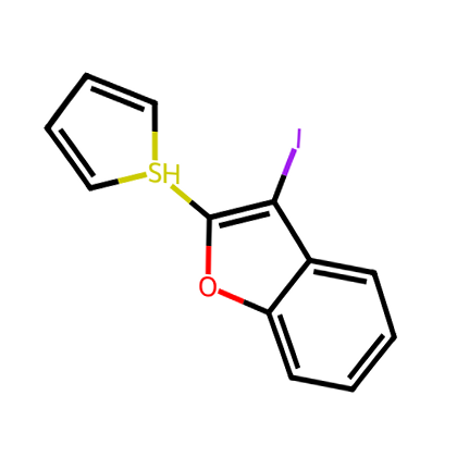 Ic1c([SH]2C=CC=C2)oc2ccccc12